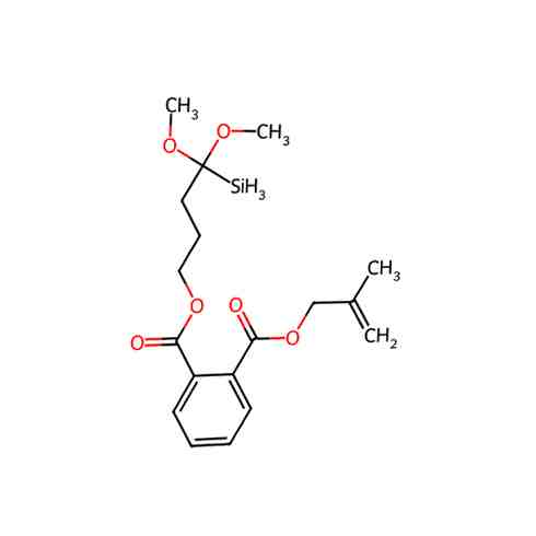 C=C(C)COC(=O)c1ccccc1C(=O)OCCCC([SiH3])(OC)OC